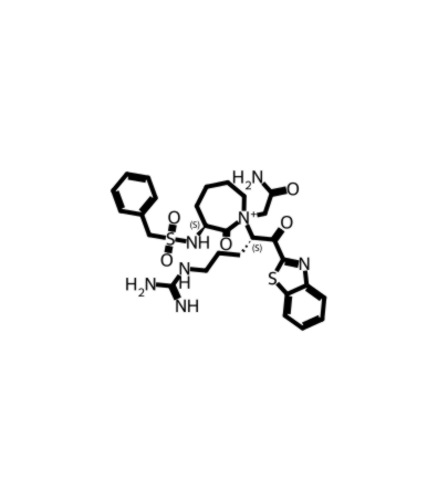 N=C(N)NCCC[C@@H](C(=O)c1nc2ccccc2s1)[N+]1(CC(N)=O)CCCC[C@H](NS(=O)(=O)Cc2ccccc2)C1=O